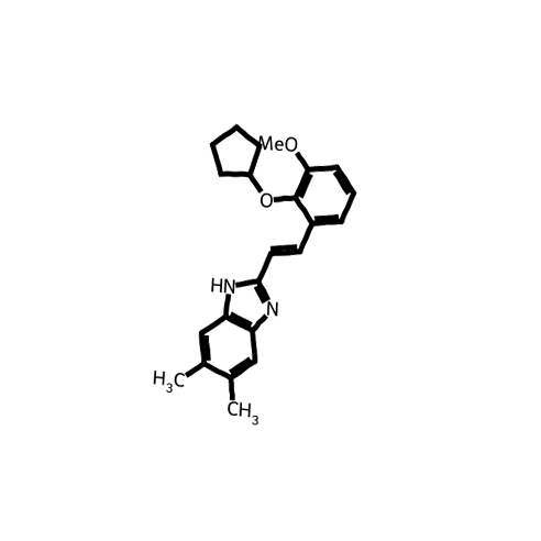 COc1cccc(/C=C/c2nc3cc(C)c(C)cc3[nH]2)c1OC1CCCC1